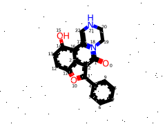 O=c1c2c(-c3ccccc3)oc3ccc(O)c(c4n1CCNC=4)c32